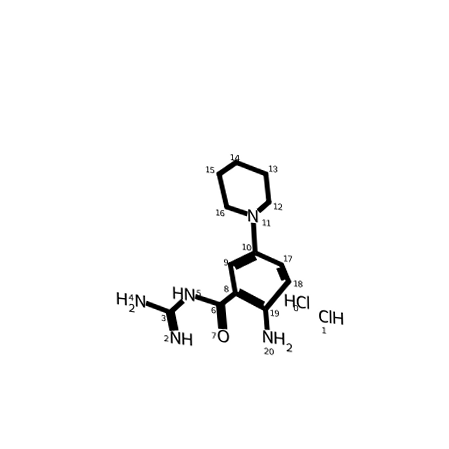 Cl.Cl.N=C(N)NC(=O)c1cc(N2CCCCC2)ccc1N